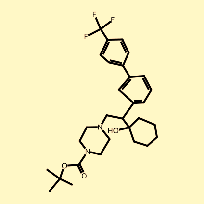 CC(C)(C)OC(=O)N1CCN(CC(c2cccc(-c3ccc(C(F)(F)F)cc3)c2)C2(O)CCCCC2)CC1